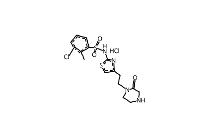 Cc1c(Cl)cccc1S(=O)(=O)Nc1nc(CCN2CCNCC2=O)cs1.Cl